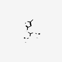 Cc1cc(NC(O[PH](=O)O)O[PH](=O)O)no1